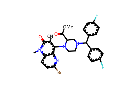 COC(=O)C1CN(C(c2ccc(F)cc2)c2ccc(F)cc2)CCN1c1c(C#N)c(=O)n(C)c2ccc(Br)nc12